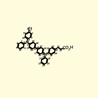 CCc1ccc(N(c2ccccc2)c2ccc(-c3ccc(N(c4ccccc4)c4ccc(CCC(=O)O)cc4)cc3)cc2)cc1